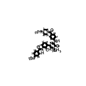 CCCN1CCN(C(=O)c2ccc(Nc3nc(-c4cccc(NC(=O)c5ccc(C(C)(C)C)cc5)c4C)cn(C)c3=O)cc2)CC1